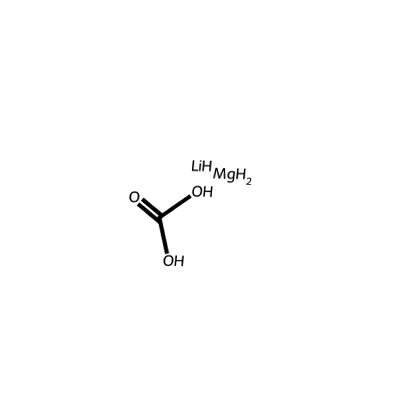 O=C(O)O.[LiH].[MgH2]